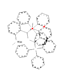 O=[N+]([O-])c1ccccc1C(OC(c1ccccc1[N+](=O)[O-])[Si](c1ccccc1)(c1ccccc1)c1ccccc1)[Si](c1ccccc1)(c1ccccc1)c1ccccc1